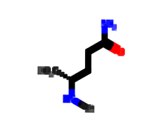 CCN[C@@H](CCC(N)=O)C(=O)O